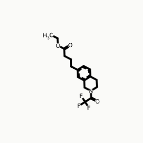 CCOC(=O)CCCc1ccc2c(c1)CN(C(=O)C(F)(F)F)CC2